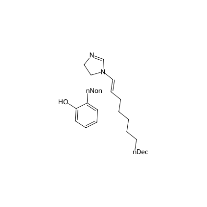 CCCCCCCCCCCCCCCC=CN1C=NCC1.CCCCCCCCCc1ccccc1O